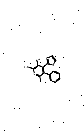 Cc1nc(N)c(C#N)c(-c2ccco2)c1-c1ccccc1